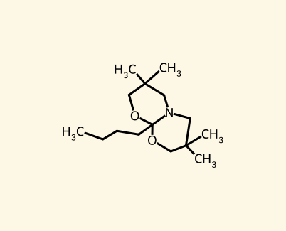 CCCCC12OCC(C)(C)CN1CC(C)(C)CO2